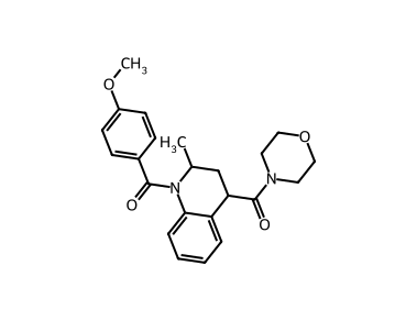 COc1ccc(C(=O)N2c3ccccc3C(C(=O)N3CCOCC3)CC2C)cc1